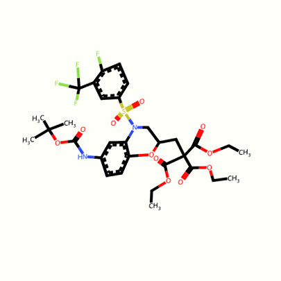 CCOC(=O)C(CC1CN(S(=O)(=O)c2ccc(F)c(C(F)(F)F)c2)c2cc(NC(=O)OC(C)(C)C)ccc2O1)(C(=O)OCC)C(=O)OCC